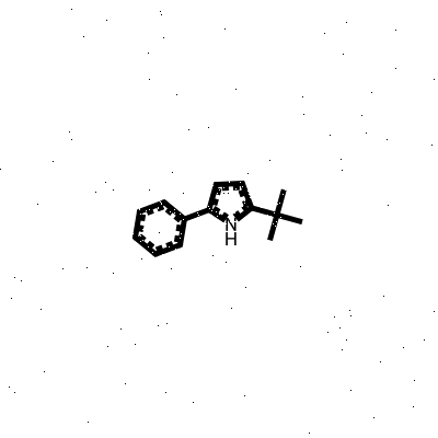 CC(C)(C)c1ccc(-c2ccccc2)[nH]1